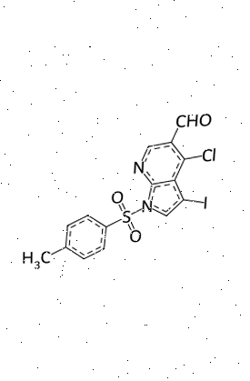 Cc1ccc(S(=O)(=O)n2cc(I)c3c(Cl)c(C=O)cnc32)cc1